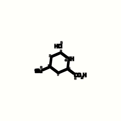 CC(C)(C)C1CCNC(C(=O)O)C1.Cl